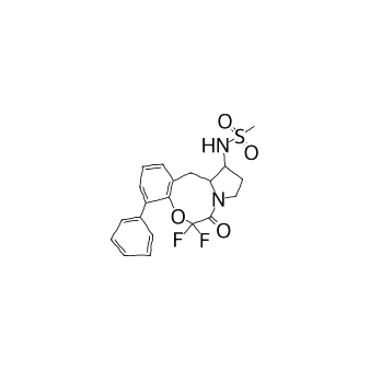 CS(=O)(=O)NC1CCN2C(=O)C(F)(F)Oc3c(cccc3-c3ccccc3)CC12